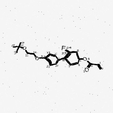 C=CC(=O)Oc1ccc(-c2ccc(OCCOC(C)(C)C)cc2)c(F)c1